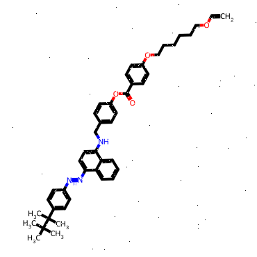 C=COCCCCCCOc1ccc(C(=O)Oc2ccc(CNc3ccc(/N=N/c4ccc(C(C)(C)C(C)(C)C)cc4)c4ccccc34)cc2)cc1